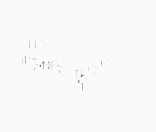 Cc1oc(-c2ccc(-c3ccc(C(F)(F)F)cc3)cc2)nc1CCOc1ccc(CCC(=O)O)c(CNC(=O)OC(C)C)c1